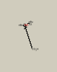 CCCCC(CC)COC(=O)C(C)(CC(CC)CCCC)C(C)CCCCCCCCCCCCCCCCC(=O)O